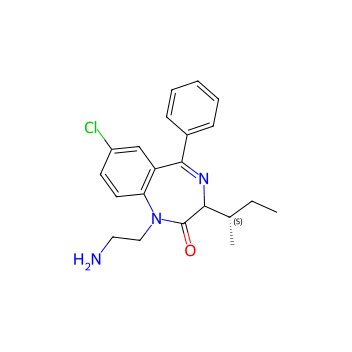 CC[C@H](C)C1N=C(c2ccccc2)c2cc(Cl)ccc2N(CCN)C1=O